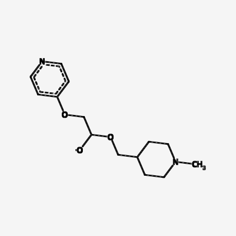 CN1CCC(COC([O])COc2ccncc2)CC1